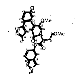 COCCC(C(=O)Nc1ccc2nn(C)cc2c1)n1cc(OC)c(-c2cc(Cl)ccc2-c2cc(C)no2)cc1=O